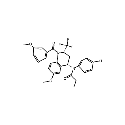 CCC(=O)N(c1ccc(Cl)cc1)[C@H]1C[C@@H](C(F)(F)F)N(C(=O)c2cccc(OC)c2)c2ccc(OC)cc21